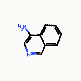 Nc1cncc2c[c]ccc12